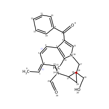 C/C=C(\C=C/c1c(C(=O)c2ccccc2)cn(CCCO)c1C)CN(C=O)C1CC1